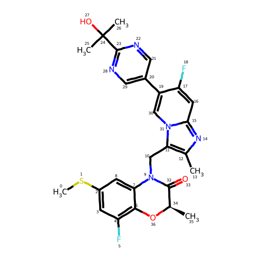 CSc1cc(F)c2c(c1)N(Cc1c(C)nc3cc(F)c(-c4cnc(C(C)(C)O)nc4)cn13)C(=O)[C@@H](C)O2